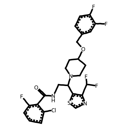 O=C(NCC(c1scnc1C(F)F)N1CCC(OCc2ccc(F)c(F)c2)CC1)c1c(F)cccc1Cl